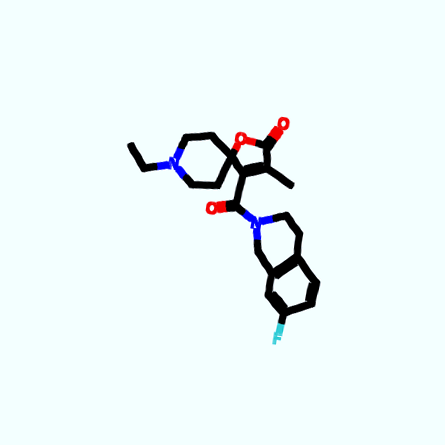 CCN1CCC2(CC1)OC(=O)C(C)=C2C(=O)N1CCc2ccc(F)cc2C1